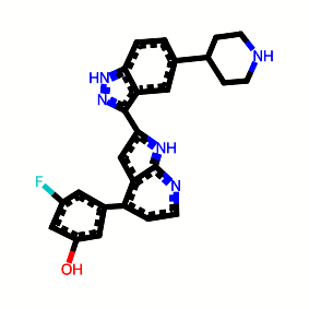 Oc1cc(F)cc(-c2ccnc3[nH]c(-c4n[nH]c5ccc(C6CCNCC6)cc45)cc23)c1